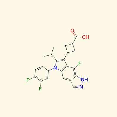 CC(C)c1c(C2CC(C(=O)O)C2)c2c(F)c3[nH]ncc3cc2n1-c1ccc(F)c(F)c1